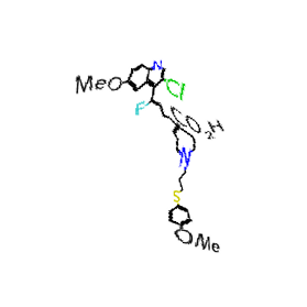 COc1ccc(SCCCN2CCC(CC[C@@H](F)c3c(Cl)cnc4ccc(OC)cc34)(C(=O)O)CC2)cc1